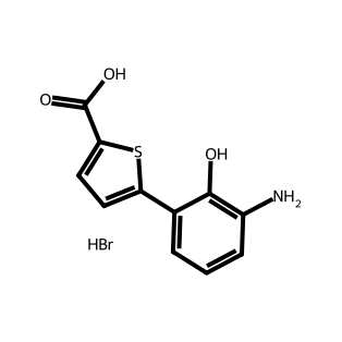 Br.Nc1cccc(-c2ccc(C(=O)O)s2)c1O